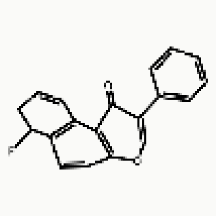 O=c1c(-c2ccccc2)coc2ccc3c(c12)C=CCC3F